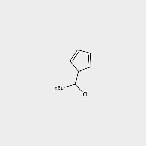 CCCCC(Cl)[C]1C=CC=C1